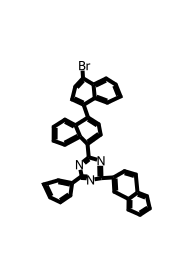 Brc1ccc(-c2ccc(-c3nc(-c4ccccc4)nc(-c4ccc5ccccc5c4)n3)c3ccccc23)c2ccccc12